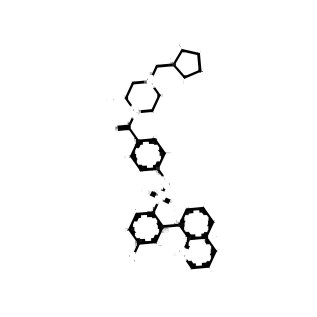 C[C@@H]1CN(CC2CCCC2)CCN1C(=O)c1ccc(NS(=O)(=O)c2ccc(N)cc2-c2cccc3cccnc23)cc1